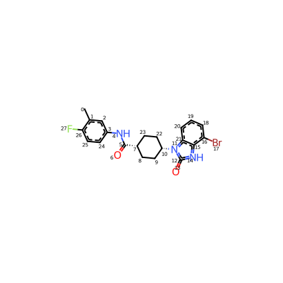 Cc1cc(NC(=O)[C@H]2CC[C@@H](n3c(=O)[nH]c4c(Br)cccc43)CC2)ccc1F